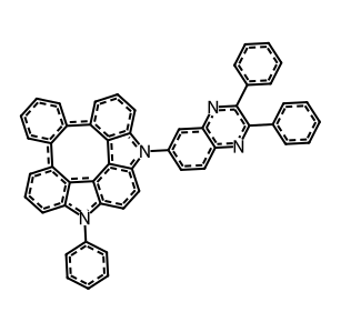 c1ccc(-c2nc3ccc(-n4c5cccc6c7ccccc7c7cccc8c7c7c(c65)c4ccc7n8-c4ccccc4)cc3nc2-c2ccccc2)cc1